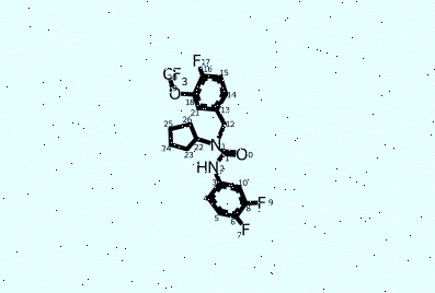 O=C(Nc1ccc(F)c(F)c1)N(Cc1ccc(F)c(OC(F)(F)F)c1)C1CCCC1